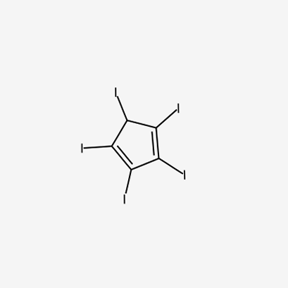 IC1=C(I)C(I)C(I)=C1I